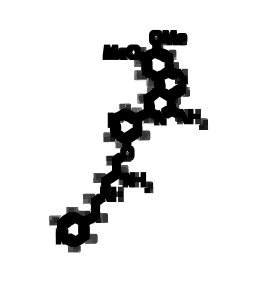 COc1cc2ncc3c(N)nc(-c4cncc(OC[C@@H](N)CNCCc5ccncc5)c4)cc3c2cc1OC